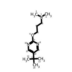 CN(C)CCCOc1ncc(C(C)(C)C)cn1